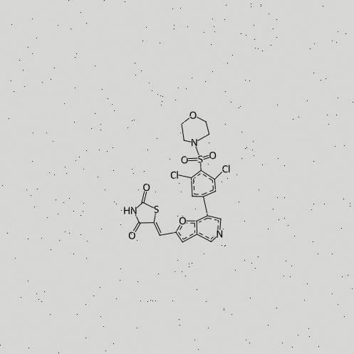 O=C1NC(=O)C(=Cc2cc3cncc(-c4cc(Cl)c(S(=O)(=O)N5CCOCC5)c(Cl)c4)c3o2)S1